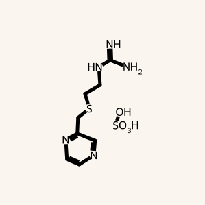 N=C(N)NCCSCc1cnccn1.O=S(=O)(O)O